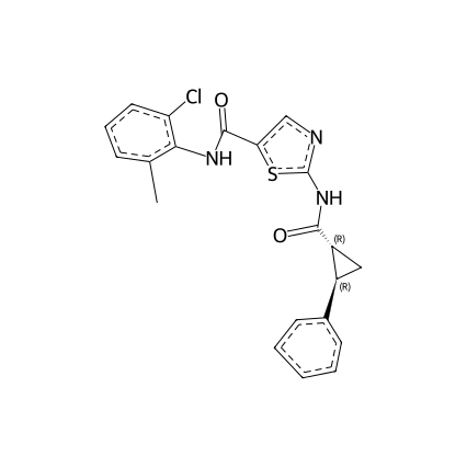 Cc1cccc(Cl)c1NC(=O)c1cnc(NC(=O)[C@@H]2C[C@H]2c2ccccc2)s1